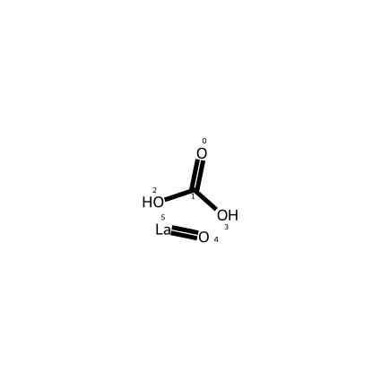 O=C(O)O.[O]=[La]